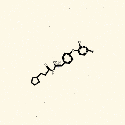 O=C(CCC1CCCC1)N/C(=C/c1ccc(Oc2ccc(F)cc2Cl)cc1)C(=O)O